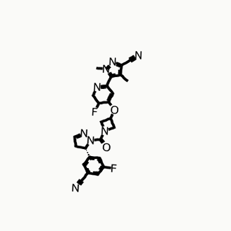 Cc1c(C#N)nn(C)c1C1=NCC(F)C(OC2CN(C(=O)N3N=CC[C@H]3c3cc(F)cc(C#N)c3)C2)=C1